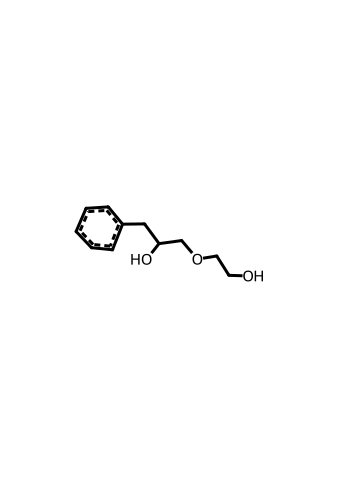 OCCOCC(O)Cc1ccccc1